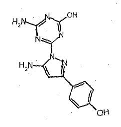 Nc1nc(O)nc(-n2nc(-c3ccc(O)cc3)cc2N)n1